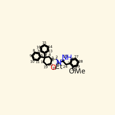 CCN(C[C@H]1CC(c2ccccc2)(c2ccccc2)CCC1=O)C(=N)Cc1ccccc1OC